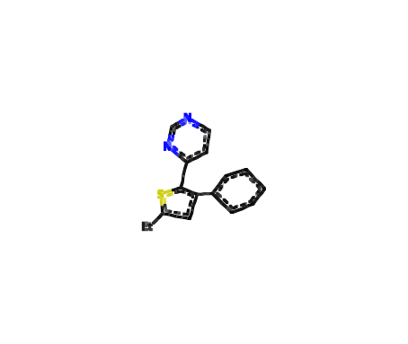 CCc1cc(-c2ccccc2)c(-c2ccncn2)s1